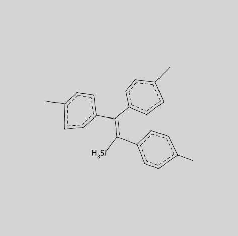 Cc1ccc(C([SiH3])=C(c2ccc(C)cc2)c2ccc(C)cc2)cc1